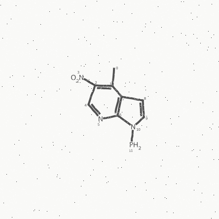 Cc1c([N+](=O)[O-])cnc2c1ccn2P